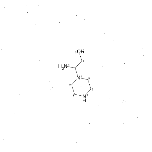 NC(CO)N1CCNCC1